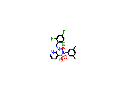 Cc1cc(C)cc(N2C(=O)N(Cc3c(F)cc(F)cc3F)c3ncccc3S2(=O)=O)c1